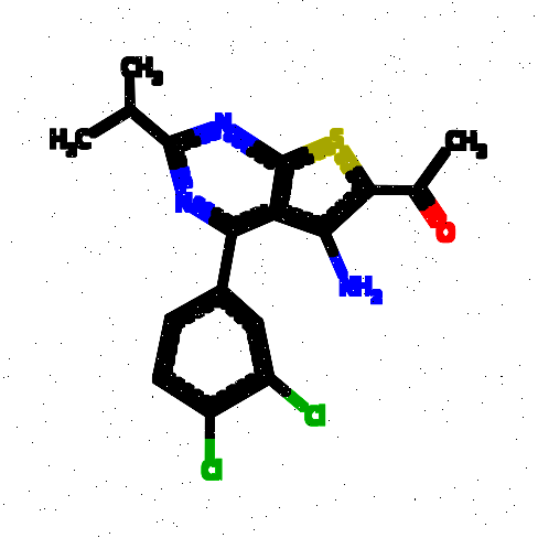 CC(=O)c1sc2nc(C(C)C)nc(-c3ccc(Cl)c(Cl)c3)c2c1N